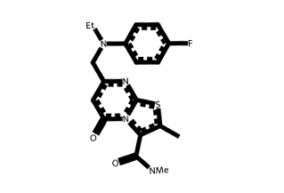 CCN(Cc1cc(=O)n2c(C(=O)NC)c(C)sc2n1)c1ccc(F)cc1